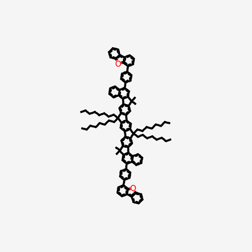 CCCCCCCCC1(CCCCCCCC)c2cc3c(cc2-c2cc4c(cc21)-c1cc2c(cc1C4(CCCCCCCC)CCCCCCCC)-c1c(cc(-c4ccc(-c5cccc6c5oc5ccccc56)cc4)c4ccccc14)C2(C)C)C(C)(C)c1cc(-c2ccc(-c4cccc5c4oc4ccccc45)cc2)c2ccccc2c1-3